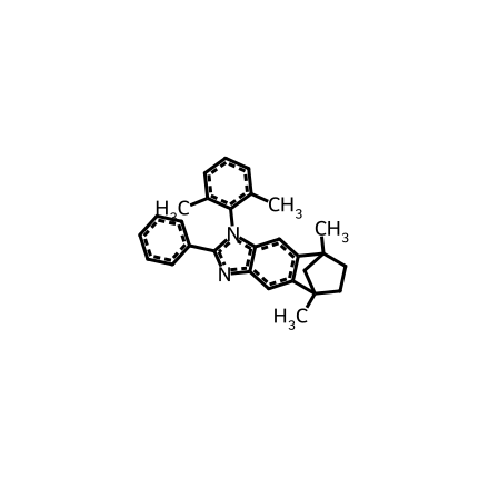 Cc1cccc(C)c1-n1c(-c2ccccc2)nc2cc3c(cc21)C1(C)CCC3(C)C1